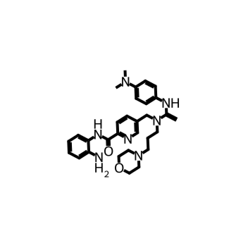 C=C(Nc1ccc(N(C)C)cc1)N(CCCN1CCOCC1)Cc1ccc(C(=O)Nc2ccccc2N)nc1